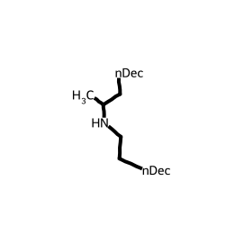 CCCCCCCCCCCCNC(C)CCCCCCCCCCC